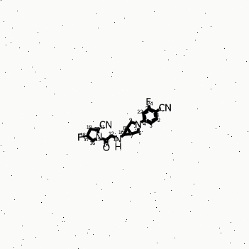 N#Cc1ccc(N2CC3C(C2)C3NCC(=O)N2C[C@@H](F)C[C@H]2C#N)cc1F